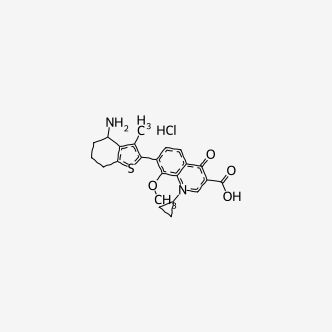 COc1c(-c2sc3c(c2C)C(N)CCC3)ccc2c(=O)c(C(=O)O)cn(C3CC3)c12.Cl